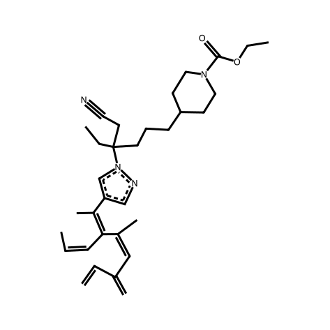 C=CC(=C)/C=C(/C)C(/C=C\C)=C(C)c1cnn(C(CC)(CC#N)CCCC2CCN(C(=O)OCC)CC2)c1